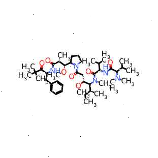 CC[C@H](C)C([C@@H](CC(=O)N1CCCC1[C@H](OC)[C@@H](C)C(=O)N[C@@H](Cc1ccccc1)C(=O)C(C)(C)C)OC)N(C)C(=O)C(NC(=O)C(C(C)C)N(C)C)C(C)C